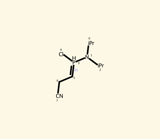 CC(C)N(C(C)C)/[PH](Cl)=C/CC#N